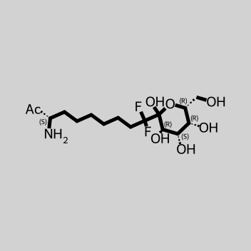 CC(=O)[C@@H](N)CCCCCCC(F)(F)C1(O)O[C@H](CO)[C@H](O)[C@H](O)[C@H]1O